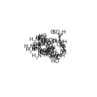 Cc1c(N)nc(C(CC(N)=O)NCC(N)C(N)=O)nc1C(=O)NC(C(=O)NC(C)C(O)C(C)C(=O)NC(C(=O)NCCc1nc(-c2nc(C(=O)NCCC[S+](C)C)cs2)cs1)C(C)O)C(O[C@@H]1O[C@@H](CO)[C@@H](O)[C@H](O)[C@@H]1O[C@H]1O[C@H](CO)[C@@H](O)[C@H](OC(N)=O)[C@@H]1O)c1cnc[nH]1.O=S(=O)([O-])O